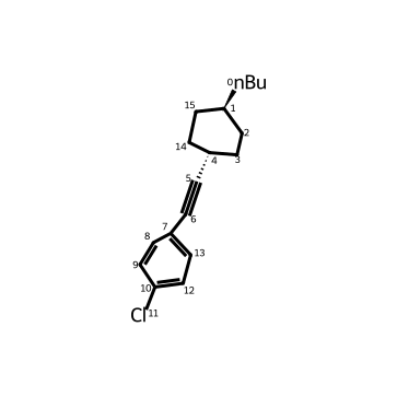 CCCC[C@H]1CC[C@H](C#Cc2ccc(Cl)cc2)CC1